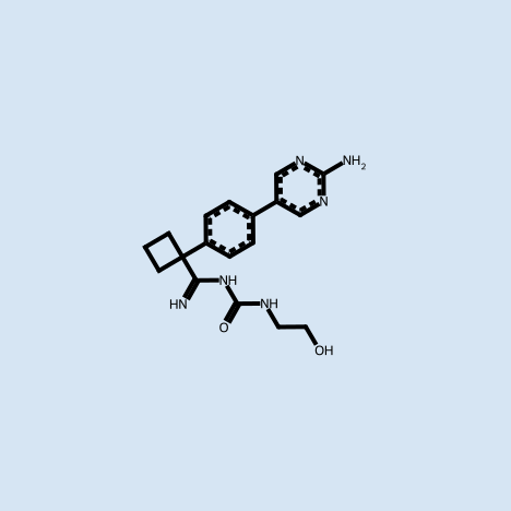 N=C(NC(=O)NCCO)C1(c2ccc(-c3cnc(N)nc3)cc2)CCC1